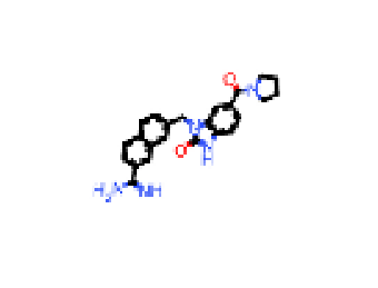 N=C(N)c1ccc2ccc(Cn3c(=O)[nH]c4ccc(C(=O)N5CCCC5)cc43)cc2c1